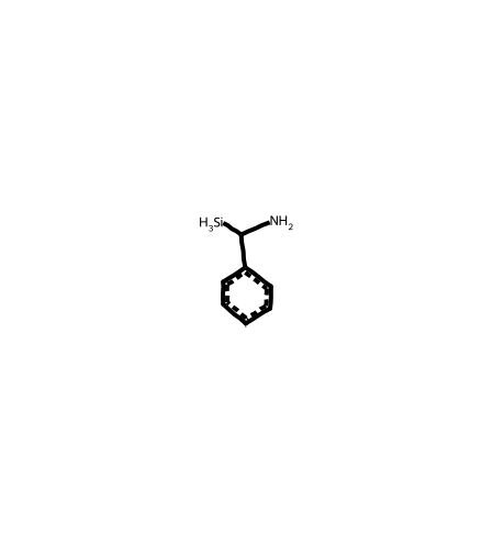 NC([SiH3])c1cc[c]cc1